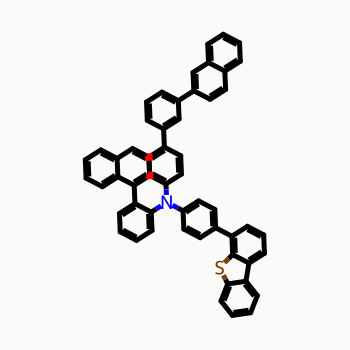 c1cc(-c2ccc(N(c3ccc(-c4cccc5c4sc4ccccc45)cc3)c3ccccc3-c3cccc4ccccc34)cc2)cc(-c2ccc3ccccc3c2)c1